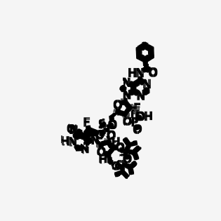 CC(C)[Si]1(C(C)C)OC[C@H]2O[C@@H](n3cc(F)c4c(=O)[nH]cnc43)[C@H](OP(=S)(OCCC#N)OC[C@H]3O[C@@H](n4cnc5c(NC(=O)c6ccccc6)ncnc54)[C@H](F)[C@@H]3O[PH](=O)O)[C@@H]2O[Si](C(C)C)(C(C)C)O1